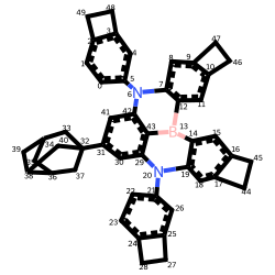 c1cc2c(cc1N1c3cc4c(cc3B3c5cc6c(cc5N(c5ccc7c(c5)CC7)c5cc(C78CC9CC(C7)C(C9)C8)cc1c53)CC6)CC4)CC2